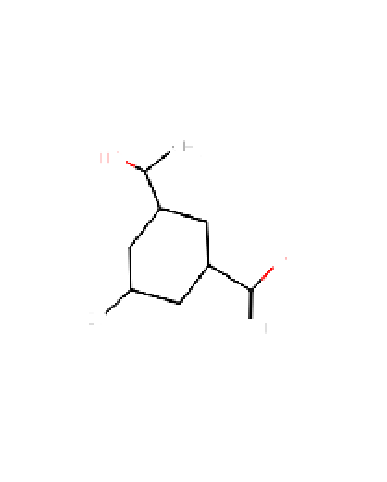 CCC1CC(C(C)O)CC(C(C)O)C1